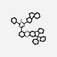 c1ccc(C2=NC(c3cccc4c3Oc3cc5c(cc3O4)C(c3ccccc3)(c3ccccc3)c3ccccc3-5)=NC(c3ccc4c(ccc5ccccc54)c3)N2)cc1